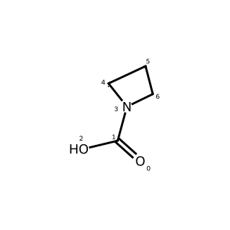 O=C(O)N1[CH]CC1